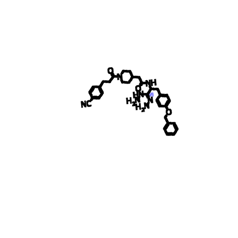 N#Cc1ccc(CCC(=O)N2CCC(CC(=O)NC(Cc3ccc(OCc4ccccc4)cc3)/C(=N/N)NN)CC2)cc1